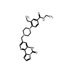 CCNC(=O)c1ccc(N2CCN(Cc3cnc4c(c3)[nH]c(=O)n3cccc43)CC2)c(CC)c1